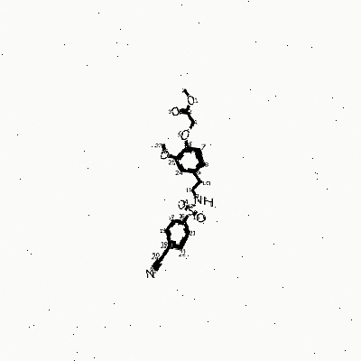 COC(=O)COc1ccc(CCNS(=O)(=O)c2ccc(C#N)cc2)cc1OC